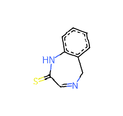 S=C1C=NCc2ccccc2N1